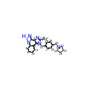 CC(=O)c1nc2c(N)nc3ccccc3c2n1Cc1ccc(CN2CCCC2)cc1